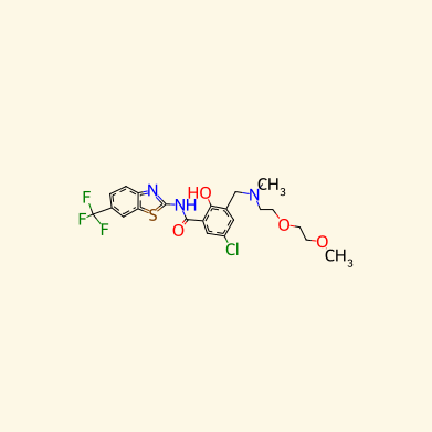 COCCOCCN(C)Cc1cc(Cl)cc(C(=O)Nc2nc3ccc(C(F)(F)F)cc3s2)c1O